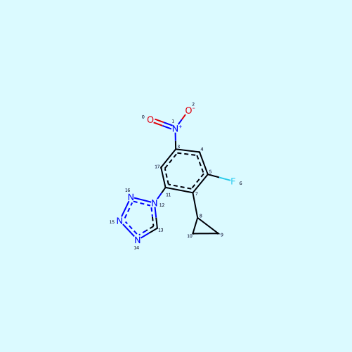 O=[N+]([O-])c1cc(F)c(C2CC2)c(-n2cnnn2)c1